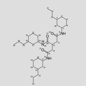 CCCC1CCCC(NC(=O)CC(CC(=O)NC2CCCC(CCC)C2)C(=O)NC2CCCC(CCC)C2)C1